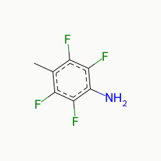 Cc1c(F)c(F)c(N)c(F)c1F